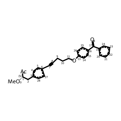 CO[C@@H](Cc1ccc(C#CCCCOc2ccc(C(=O)c3ccccc3)cc2)cc1)C(C)=O